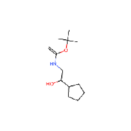 C=C(NCC(O)C1CCCC1)OC(C)(C)C